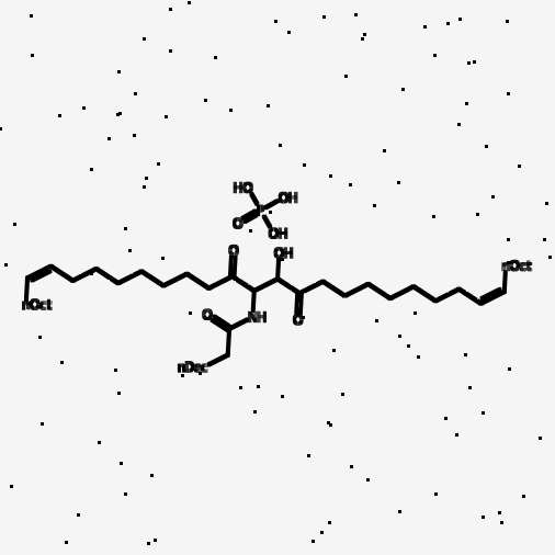 CCCCCCCC/C=C\CCCCCCCC(=O)C(O)C(NC(=O)CCCCCCCCCCC)C(=O)CCCCCCC/C=C\CCCCCCCC.O=P(O)(O)O